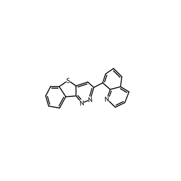 c1cnc2c(-c3cc4sc5ccccc5c4nn3)cccc2c1